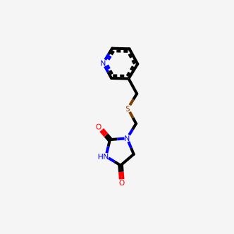 O=C1CN(CSCc2cccnc2)C(=O)N1